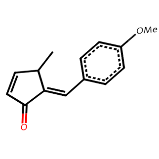 COc1ccc(/C=C2/C(=O)C=CC2C)cc1